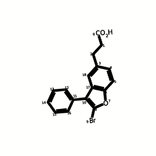 O=C(O)CCc1ccc2oc(Br)c(-c3ccccc3)c2c1